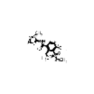 CCc1c(C(=O)Nc2nnnn2C)ccc(C)c1S(=O)(=O)CC